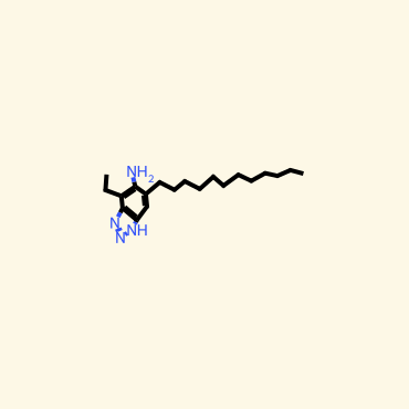 CCCCCCCCCCCCc1cc2[nH]nnc2c(CC)c1N